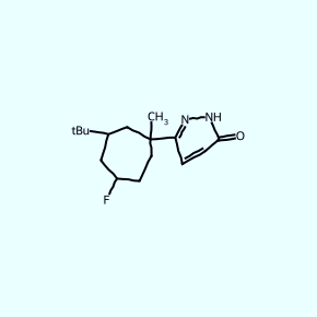 CC1(c2ccc(=O)[nH]n2)CCC(F)CC(C(C)(C)C)C1